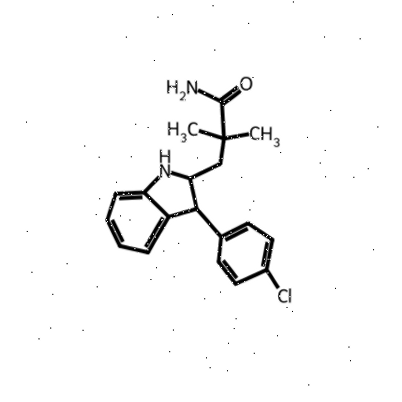 CC(C)(CC1Nc2ccccc2C1c1ccc(Cl)cc1)C(N)=O